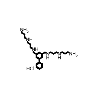 Cl.NCCCNCCCNCc1cc(CNCCCNCCCN)cc(-c2ccccc2)c1